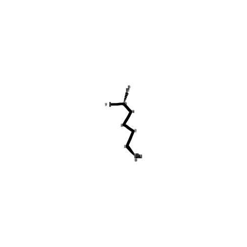 CC[C@H](C)CCCC[C@@H](F)I